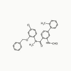 Cc1ccccc1-c1ccc(C(=O)N(C)c2ccc(Cl)cc2OCc2ccccc2)c(NC=O)c1